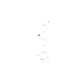 C[C@@H]1[C@@H](O)[C@H](O)[C@@H](O)CN1CC1CCN(C(=O)[C@H]2CC[C@H](C(C)(C)C)CC2)CC1